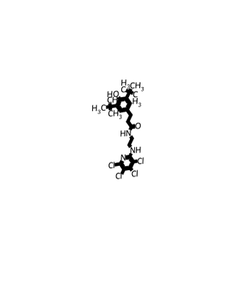 CC(C)(C)c1cc(CCC(=O)NCCNc2nc(Cl)c(Cl)c(Cl)c2Cl)cc(C(C)(C)C)c1O